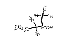 [2H]C([2H])(Cl)[C@H](O)C([2H])([2H])C(=O)OCC